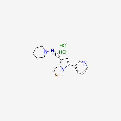 C(=NN1CCCCC1)=C1C=C(c2cccnc2)N2CSCC12.Cl.Cl